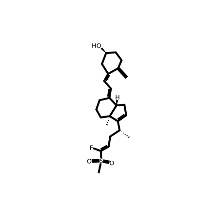 C=C1CC[C@H](O)C/C1=C/C=C1\CCC[C@]2(C)C([C@H](C)C/C=C(\F)S(C)(=O)=O)=CC[C@@H]12